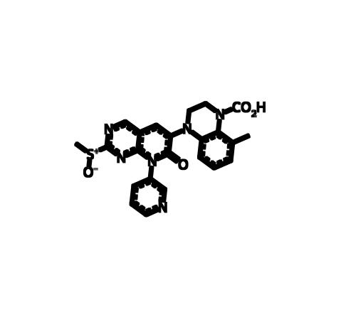 Cc1cccc2c1N(C(=O)O)CCN2c1cc2cnc([S+](C)[O-])nc2n(-c2cccnc2)c1=O